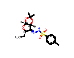 CC(=O)OC[C@H]1O[C@@H]2OC(C)(C)O[C@@H]2/C1=N\NS(=O)(=O)c1ccc(C)cc1